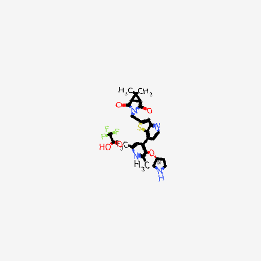 Cc1nc(C(F)(F)F)cc(-c2ccnc3cc(CN4C(=O)C5C(C4=O)C5(C)C)sc23)c1O[C@H]1CCNC1.O=C(O)C(F)(F)F